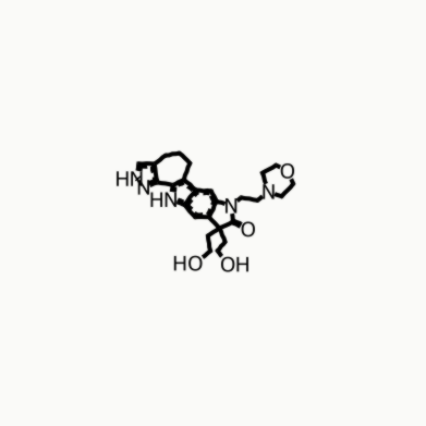 O=C1N(CCN2CCOCC2)c2cc3c4c([nH]c3cc2C1(CCO)CCO)-c1n[nH]cc1CCC4